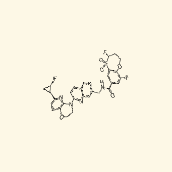 O=C(NCc1cc2nc(N3CCOc4ccc([C@H]5C[C@H]5F)nc43)ccc2cn1)c1cc(F)c2c(c1)S(=O)(=O)[C@@H](F)CCO2